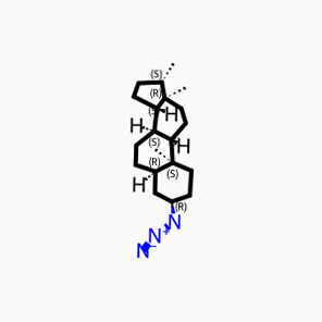 C[C@H]1CC[C@H]2[C@@H]3CC[C@@H]4C[C@H](N=[N+]=[N-])CC[C@]4(C)[C@H]3CC[C@]12C